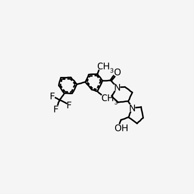 Cc1cc(-c2cccc(C(F)(F)F)c2)cc(C)c1C(=O)N1CCC(N2CCCC2CO)CC1